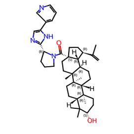 C=C(C)[C@@H]1CC[C@]2(C(=O)N3CCC[C@@H]3c3ncc(-c4cccnc4)[nH]3)CC[C@]3(C)[C@H](CC[C@@H]4[C@@]5(C)CC[C@H](O)C(C)(C)[C@@H]5CC[C@]43C)[C@@H]12